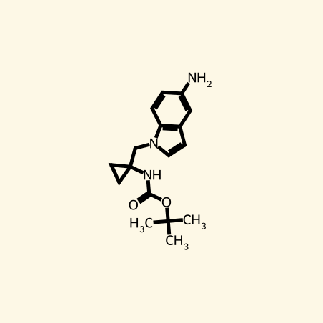 CC(C)(C)OC(=O)NC1(Cn2ccc3cc(N)ccc32)CC1